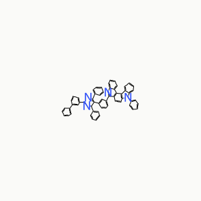 c1ccc(-c2cccc(-c3nc(-c4ccccc4)c(-c4cccc(-c5nc6ccccc6c6c5ccc5c6c6ccccc6n5-c5ccccc5)c4)c(-c4ccccc4)n3)c2)cc1